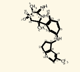 CN1C(=N)NC(C)(c2cc(NC3CCc4ncc(C(F)(F)F)cc43)ccc2F)CS1(=O)=O